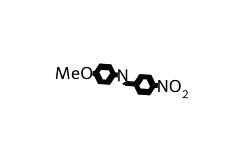 COc1ccc(N=Cc2ccc([N+](=O)[O-])cc2)cc1